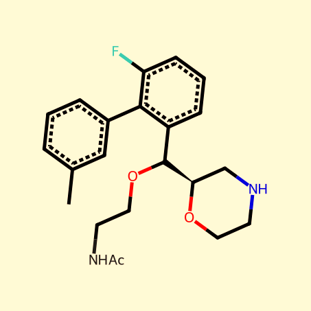 CC(=O)NCCOC(c1cccc(F)c1-c1cccc(C)c1)[C@H]1CNCCO1